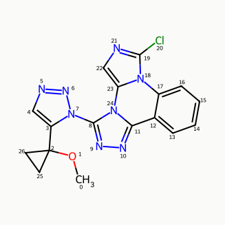 COC1(c2cnnn2-c2nnc3c4ccccc4n4c(Cl)ncc4n23)CC1